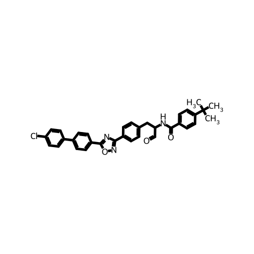 CC(C)(C)c1ccc(C(=O)NC(C=O)Cc2ccc(-c3noc(-c4ccc(-c5ccc(Cl)cc5)cc4)n3)cc2)cc1